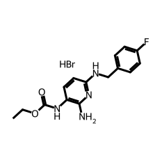 Br.CCOC(=O)Nc1ccc(NCc2ccc(F)cc2)nc1N